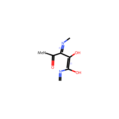 C=N/C(O)=C(O)\C(=N/C)C(=O)NC